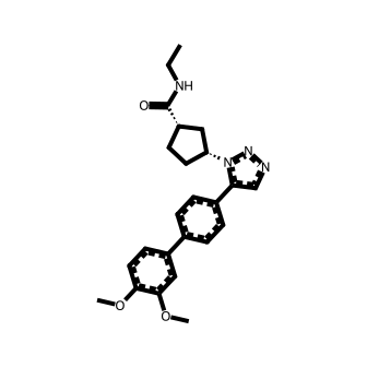 CCNC(=O)[C@H]1CC[C@@H](n2nncc2-c2ccc(-c3ccc(OC)c(OC)c3)cc2)C1